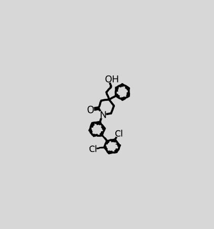 O=C1CC(CCO)(c2ccccc2)CCN1c1cccc(-c2c(Cl)cccc2Cl)c1